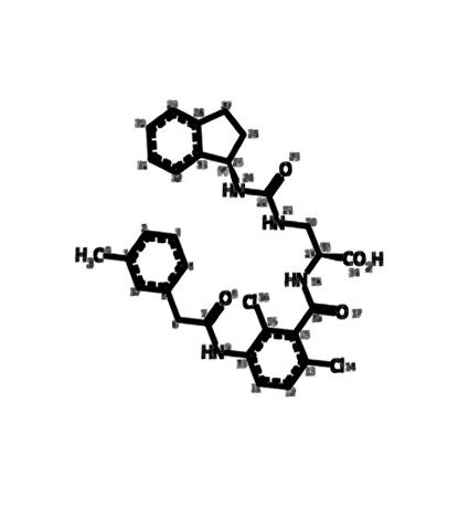 Cc1cccc(CC(=O)Nc2ccc(Cl)c(C(=O)N[C@@H](CNC(=O)N[C@@H]3CCc4ccccc43)C(=O)O)c2Cl)c1